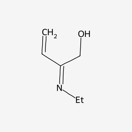 C=CC(CO)=NCC